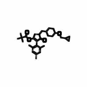 Cc1cc(C)c(C2=C(OC(=O)C(C)(C)C)CC(CC3CCC(OCC4CC4)CC3)C2=O)c(C)c1